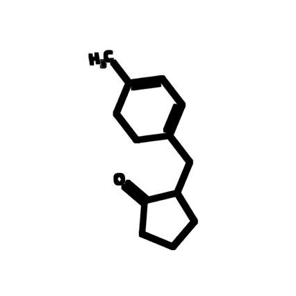 CC1=CC=C(CC2CCCC2=O)CC1